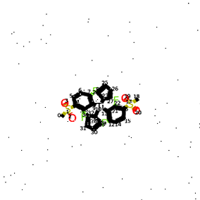 CS(=O)(=O)c1ccc(F)[c]([Ti]([c]2c(F)ccc(S(C)(=O)=O)c2F)([CH]2C=CC=C2)[CH]2C=CC=C2)c1F